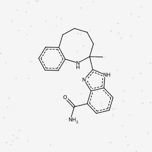 CC1(c2nc3c(C(N)=O)cccc3[nH]2)CCCCc2ccccc2N1